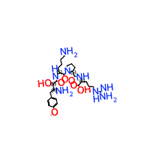 COc1ccc(C[C@@H](N)[C@H](O)C(=O)N[C@@H](CCCCN)C(=O)N2CCC[C@H]2C(=O)N[C@@H](CCCNC(=N)N)C(=O)O)cc1